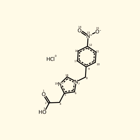 Cl.O=C(O)Cc1cn(Cc2ccc([N+](=O)[O-])cc2)cn1